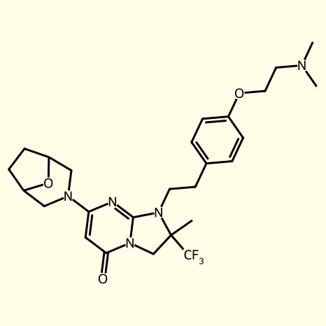 CN(C)CCOc1ccc(CCN2c3nc(N4CC5CCC(C4)O5)cc(=O)n3CC2(C)C(F)(F)F)cc1